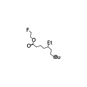 CCC(C)CCC(CC)CCCC(=O)OCCF